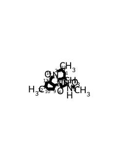 CC(=O)NCC(=O)Nc1ccc(C)cc1C(=O)N1C[C@H](C)C[C@H](C)C1